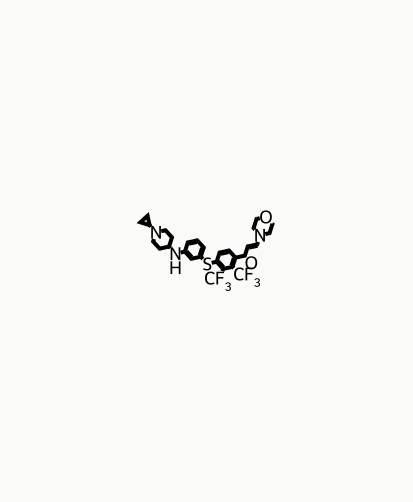 O=C(C=CN1CCOCC1)c1ccc(Sc2cccc(NC3CCN(C4CC4)CC3)c2)c(C(F)(F)F)c1C(F)(F)F